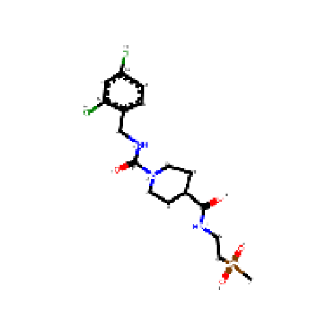 CS(=O)(=O)CCNC(=O)C1CCN(C(=O)NCc2ccc(Cl)cc2Cl)CC1